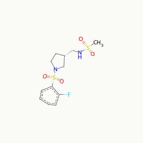 CS(=O)(=O)NC[C@H]1CCN(S(=O)(=O)c2ccccc2F)C1